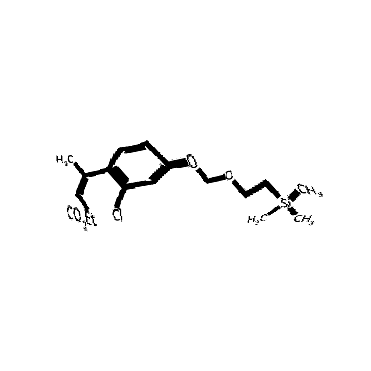 CCOC(=O)/C=C(/C)c1ccc(OCOCC[Si](C)(C)C)cc1Cl